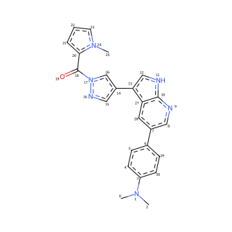 CN(C)c1ccc(-c2cnc3[nH]cc(-c4cnn(C(=O)c5cccn5C)c4)c3c2)cc1